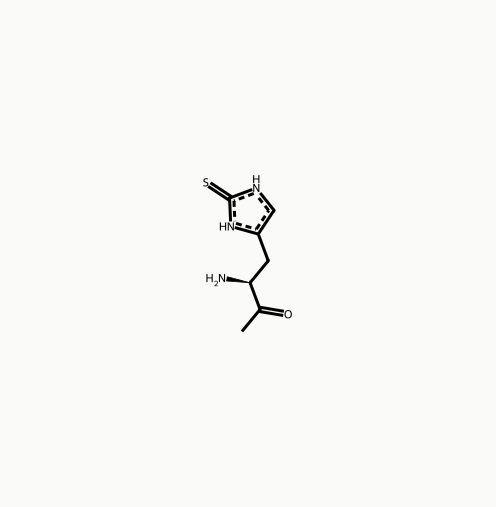 CC(=O)[C@@H](N)Cc1c[nH]c(=S)[nH]1